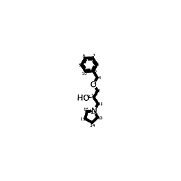 O[C@H](COCc1ccccc1)CN1CCCC1